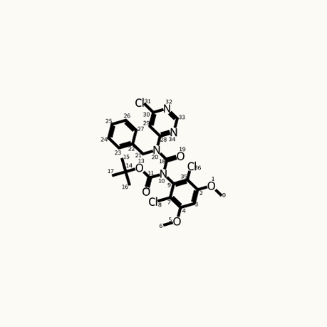 COc1cc(OC)c(Cl)c(N(C(=O)OC(C)(C)C)C(=O)N(Cc2ccccc2)c2cc(Cl)ncn2)c1Cl